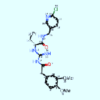 COc1ccc(CC(=O)NC(=N)N[C@H](CC(C)C)C(=O)NCc2ccc(Cl)nc2)cc1OC